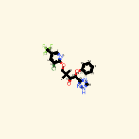 CC(C)(COc1ncc(C(F)(F)F)cc1Cl)C(=O)C(Oc1ccccc1)c1nc[nH]n1